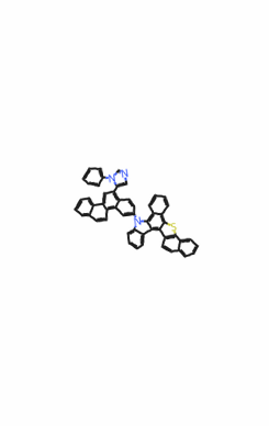 c1ccc(-n2cncc2-c2cc3c4ccccc4ccc3c3cc(-n4c5ccccc5c5c6c7ccc8ccccc8c7sc6c6ccccc6c54)ccc23)cc1